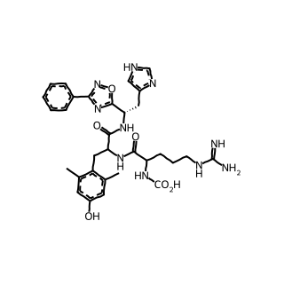 Cc1cc(O)cc(C)c1CC(NC(=O)C(CCCNC(=N)N)NC(=O)O)C(=O)N[C@@H](Cc1c[nH]cn1)c1nc(-c2ccccc2)no1